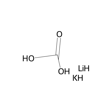 O=C(O)O.[KH].[LiH]